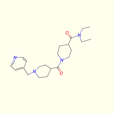 CCN(CC)C(=O)C1CCN(C(=O)C2CCN(Cc3ccncc3)CC2)CC1